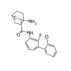 NC12CCC(CC1)CC2C(=O)Nc1cccc(-c2ccccc2Cl)c1F